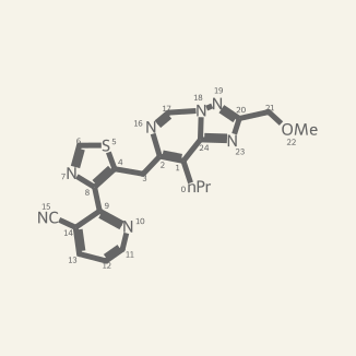 CCCc1c(Cc2scnc2-c2ncccc2C#N)ncn2nc(COC)nc12